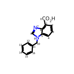 O=C(O)c1cccc2c1ncn2Cc1ccccc1